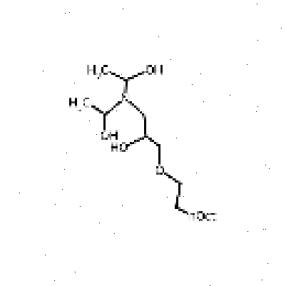 CCCCCCCCCCOCC(O)CN(C(C)O)C(C)O